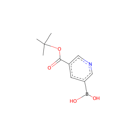 CC(C)(C)OC(=O)c1cncc(B(O)O)c1